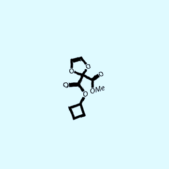 COC(=O)C1(C(=O)OC2CCC2)OC=CO1